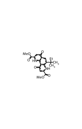 CCC(C)(C)c1cc2c(=O)cc(C(=O)OC)[nH]c2c2c(=O)cc(C(=O)OC)[nH]c12